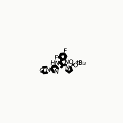 Cc1c(N2CCC[C@H]2C(=O)OC(C)(C)C)nc2cc(F)cc(F)c2c1Nc1cncc(N2CCOCC2)c1